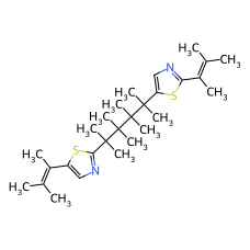 CC(C)=C(C)c1cnc(C(C)(C)C(C)(C)C(C)(C)C(C)(C)c2cnc(C(C)=C(C)C)s2)s1